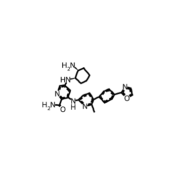 Cc1nc(Nc2cc(N[C@@H]3CCCC[C@@H]3N)cnc2C(N)=O)ccc1-c1ccc(-c2ncco2)cc1